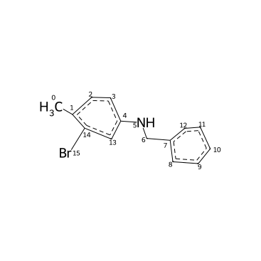 Cc1ccc(NCc2ccccc2)cc1Br